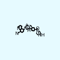 C[C@@H]1CN(c2ccc(C#N)c3ncccc23)C[C@@H]2c3ccc(C(=O)N4CCNCC4)cc3CN12